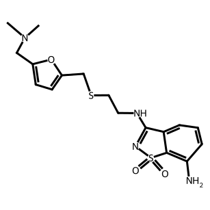 CN(C)Cc1ccc(CSCCNC2=NS(=O)(=O)c3c(N)cccc32)o1